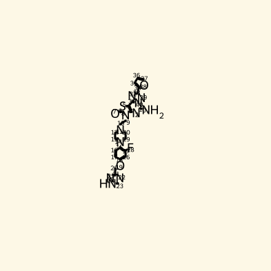 Nc1nc2c(sc(=O)n2CCN2CCN(c3ccc(OCc4nc[nH]n4)cc3F)CC2)c2nc(-c3ccco3)nn12